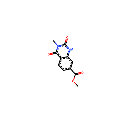 COC(=O)c1ccc2c(=O)n(C)c(=O)[nH]c2c1